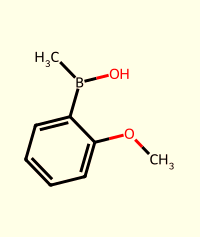 COc1ccccc1B(C)O